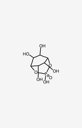 O=P1(O)OC2C(O)C(O)C(O1)C(O)C2O